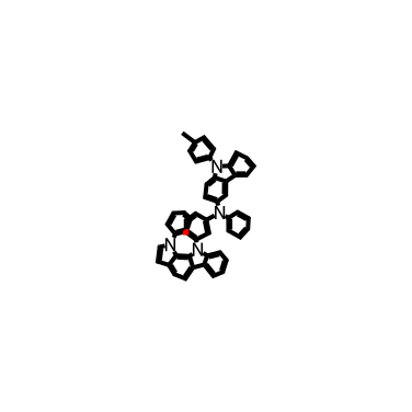 Cc1ccc(-n2c3ccccc3c3cc(N(c4ccccc4)c4cccc(-n5c6ccccc6c6ccc7ccn(-c8ccccc8)c7c65)c4)ccc32)cc1